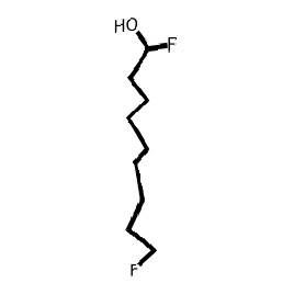 OC(F)CCCCCCCCF